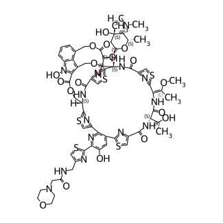 CO/C(C)=C1/NC(=O)[C@H]([C@@H](C)O)NC(=O)c2csc(n2)-c2cc(O)c(-c3nc(CNC(=O)CN4CCOCC4)cs3)nc2-c2csc(n2)[C@@H]2COC(=O)c3c4c5c(cccc5n3O)COC(=O)[C@@H](O[C@H]3C[C@](C)(O)[C@H](N(C)C)[C@H](C)O3)[C@@H](OC4)[C@H](NC(=O)c3csc1n3)c1nc(cs1)C(=O)N2